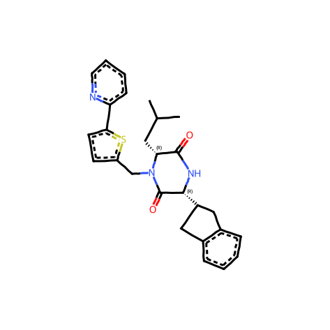 CC(C)C[C@@H]1C(=O)N[C@H](C2Cc3ccccc3C2)C(=O)N1Cc1ccc(-c2ccccn2)s1